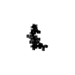 CCOc1cc([C@@H](C)NC(=O)[C@H](O)[C@@H](O)C(=O)N2[C@@H](c3csc(NC(C)C)n3)C[C@H]3C[C@H]32)ccc1-n1cccn1